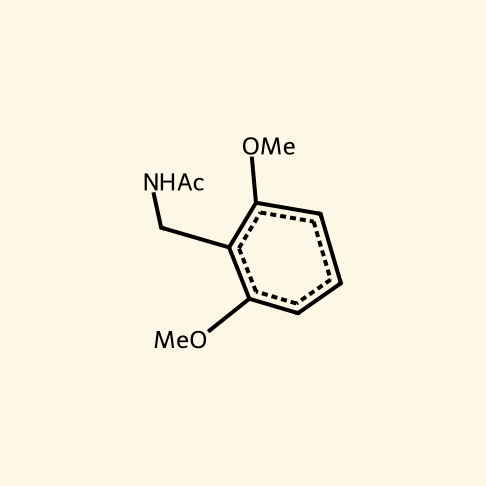 COc1cccc(OC)c1CNC(C)=O